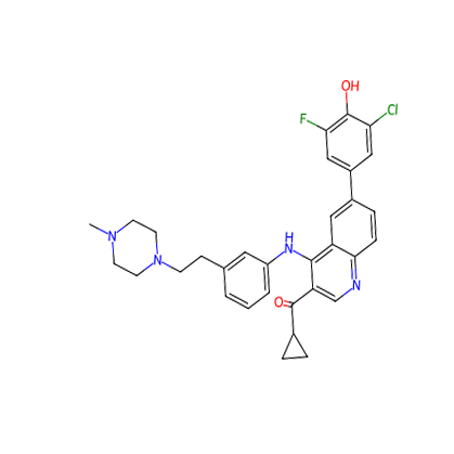 CN1CCN(CCc2cccc(Nc3c(C(=O)C4CC4)cnc4ccc(-c5cc(F)c(O)c(Cl)c5)cc34)c2)CC1